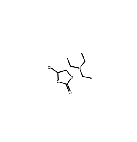 CCN(CC)CC.O=C1OCC(Cl)O1